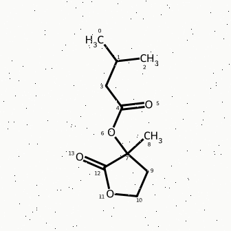 CC(C)CC(=O)OC1(C)CCOC1=O